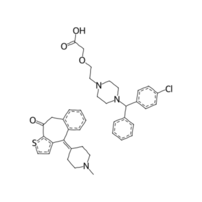 CN1CCC(=C2c3ccccc3CC(=O)c3sccc32)CC1.O=C(O)COCCN1CCN(C(c2ccccc2)c2ccc(Cl)cc2)CC1